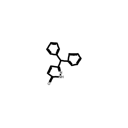 O=c1ccc(C(c2ccccc2)c2ccccc2)n[nH]1